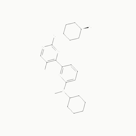 CN(c1cccc(-c2nc(N[C@H]3CC[C@H](N)CC3)ncc2Cl)n1)C1CCCCC1